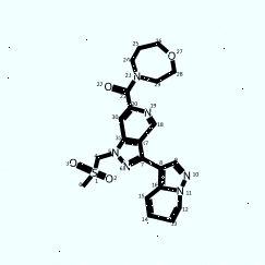 CS(=O)(=O)Cn1nc(-c2cnn3ccccc23)c2cnc(C(=O)N3CCCOCC3)cc21